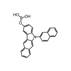 OB(O)Oc1ccc2c(c1)c1cc3ccccc3cc1n2-c1ccc2ccccc2c1